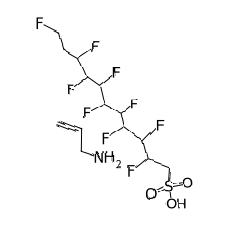 C=CCN.O=S(=O)(O)CC(F)C(F)C(F)C(F)C(F)C(F)C(F)C(F)CCF